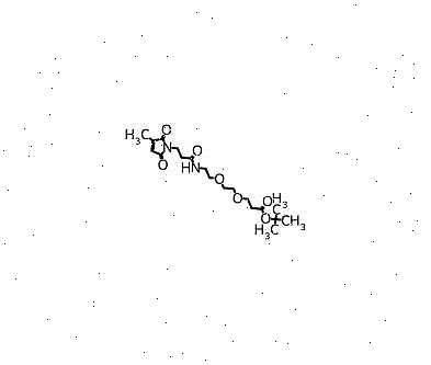 CC1=CC(=O)N(CCC(=O)NCCOCCOCCC(=O)OC(C)(C)C)C1=O